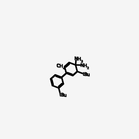 C.CC(C)(C)c1cccc(C2=CC(C(C)(C)C)C(N)(N)C=C2)c1